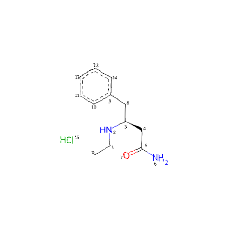 CCN[C@H](CC(N)=O)Cc1ccccc1.Cl